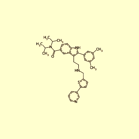 Cc1cc(C)cc(-c2[nH]c3ccc(C(=O)N(C(C)C)C(C)C)cc3c2CCNCc2ccc(-c3cccnc3)s2)c1